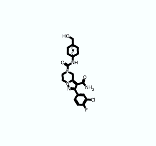 NC(=O)c1c(-c2ccc(F)c(Cl)c2)nn2c1CN(C(=O)NC13CCC(CO)(CC1)CC3)CC2